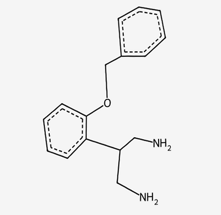 NCC(CN)c1ccccc1OCc1ccccc1